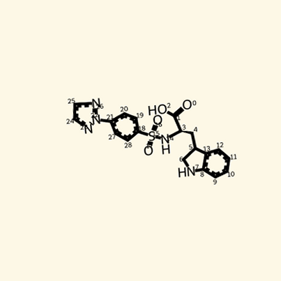 O=C(O)[C@@H](CC1CNc2ccccc21)NS(=O)(=O)c1ccc(-n2nccn2)cc1